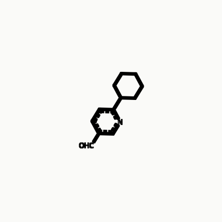 O=Cc1ccc(C2CCCCC2)nc1